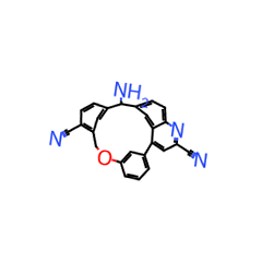 N#Cc1cc2c3cc(ccc3n1)C(N)c1ccc(C#N)c(c1)COc1cccc-2c1